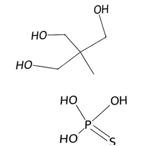 CC(CO)(CO)CO.OP(O)(O)=S